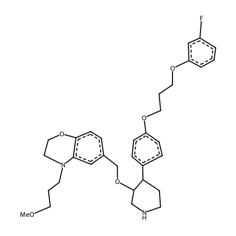 COCCCN1CCOc2ccc(COC3CNCCC3c3ccc(OCCCOc4cccc(F)c4)cc3)cc21